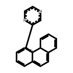 C1=CC2=CC=C3C=CC=C4N=C(c5cnccn5)N=NC34C2C=C1